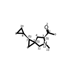 CC(=O)[C@@H]1C[C@]2(C[C@H]2C2CC2)CN1C